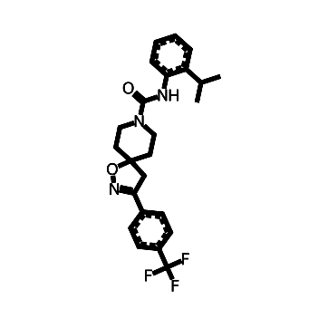 CC(C)c1ccccc1NC(=O)N1CCC2(CC1)CC(c1ccc(C(F)(F)F)cc1)=NO2